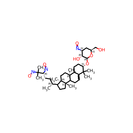 C[C@H](CC[C@@H](N=O)C(C)(C)N=O)C1CC[C@@]2(C)C3CC=C4C(CC[C@H](O[C@@H]5O[C@H](CO)C[C@H](N=O)[C@H]5O)C4(C)C)[C@]3(C)CC[C@]12C